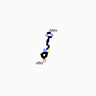 CCCCOc1ccc2nc(/C=C/C#Cc3cnc(NC)cn3)sc2c1